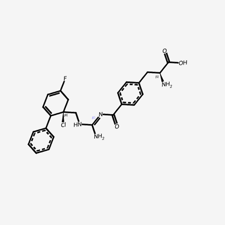 N/C(=N\C(=O)c1ccc(C[C@H](N)C(=O)O)cc1)NC[C@@]1(Cl)CC(F)=CC=C1c1ccccc1